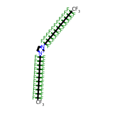 FC(F)(F)C(F)(F)C(F)(F)C(F)(F)C(F)(F)C(F)(F)C(F)(F)C(F)(F)C(F)(F)C(F)(F)C(F)(F)C(F)(F)n1cc[n+](C(F)(F)C(F)(F)C(F)(F)C(F)(F)C(F)(F)C(F)(F)C(F)(F)C(F)(F)C(F)(F)C(F)(F)C(F)(F)C(F)(F)F)c1